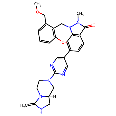 C=C1NC[C@@H]2CN(c3ncc(-c4ccc5c(=O)n(C)n(Cc6c(O)cccc6COC)c5c4)cn3)CCN12